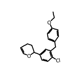 CCOc1ccc(Cc2cc(C3CCC=CO3)ccc2Cl)cc1